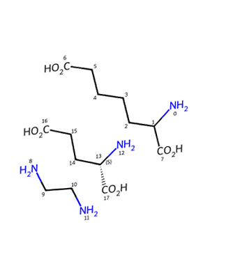 NC(CCCCC(=O)O)C(=O)O.NCCN.N[C@@H](CCC(=O)O)C(=O)O